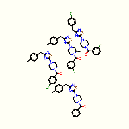 Cc1ccc(Cc2nsc(N3CCN(C(=O)c4ccc(Cl)cc4)CC3)n2)cc1.Cc1ccc(Cc2nsc(N3CCN(C(=O)c4cccc(F)c4)C(C)C3)n2)cc1.Cc1ccc(Cc2nsc(N3CCN(C(=O)c4ccccc4)CC3)n2)cc1.O=C(c1cccc(F)c1)N1CCN(c2nc(Cc3ccc(Cl)cc3)ns2)CC1